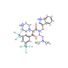 CN(C)CCN(Cc1c[nH]c2ccccc12)C(=O)C(C(=O)c1cc(C(F)(F)F)cc(C(F)(F)F)c1)N1CCNCC1